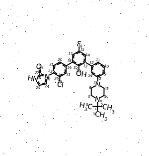 CC(C)(C)N1CCN(c2cccc(-c3cc(F)cc(-c4ccc(-n5cc[nH]c5=O)c(Cl)c4)c3O)c2)CC1